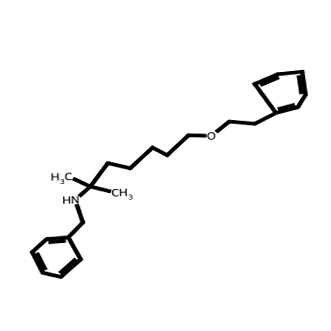 CC(C)(CCCCCOCCc1ccccc1)NCc1ccccc1